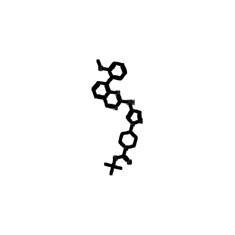 COc1ccccc1-c1cccc2cnc(Nc3cnn(C4CCN(C(=O)OC(C)(C)C)CC4)c3)nc12